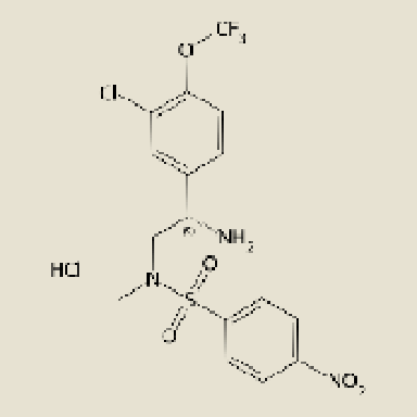 CN(C[C@@H](N)c1ccc(OC(F)(F)F)c(Cl)c1)S(=O)(=O)c1ccc([N+](=O)[O-])cc1.Cl